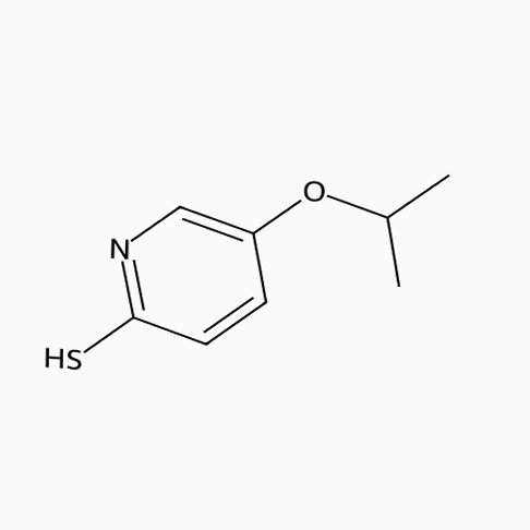 CC(C)Oc1ccc(S)nc1